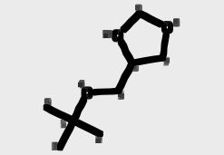 CC(C)(C)OCC1COCO1